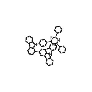 c1ccc(-c2nc(-c3ccccc3)nc(-c3ccc(-n4c5ccccc5c5cccc(-c6cc7c8ccccc8n8c9ccccc9c(c6)c78)c54)cc3)n2)cc1